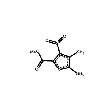 COC(=O)c1sc(N)c(C)c1[SH](=O)=O